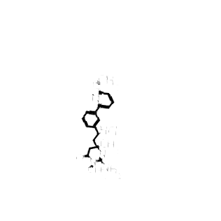 COc1cccc(-c2cccc(CCC3(C)CC(=O)N(C)C(N)=N3)c2)n1.Cl